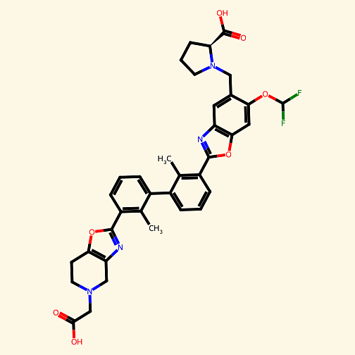 Cc1c(-c2nc3c(o2)CCN(CC(=O)O)C3)cccc1-c1cccc(-c2nc3cc(CN4CCC[C@H]4C(=O)O)c(OC(F)F)cc3o2)c1C